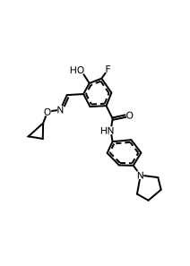 O=C(Nc1ccc(N2CCCC2)cc1)c1cc(F)c(O)c(C=NOC2CC2)c1